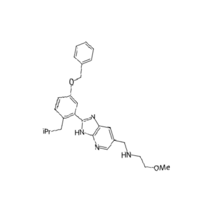 COCCNCc1cnc2[nH]c(-c3cc(OCc4ccccc4)ccc3CC(C)C)nc2c1